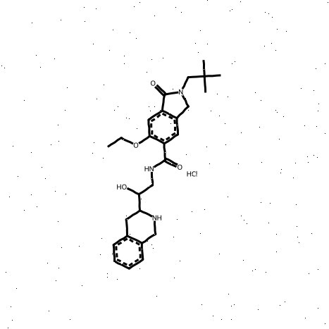 CCOc1cc2c(cc1C(=O)NCC(O)C1Cc3ccccc3CN1)CN(CC(C)(C)C)C2=O.Cl